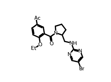 CCOc1ccc(C(C)=O)cc1C(=O)N1CCCC1CNc1ncc(Br)cn1